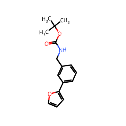 CC(C)(C)OC(=O)NCc1cccc(-c2ccco2)c1